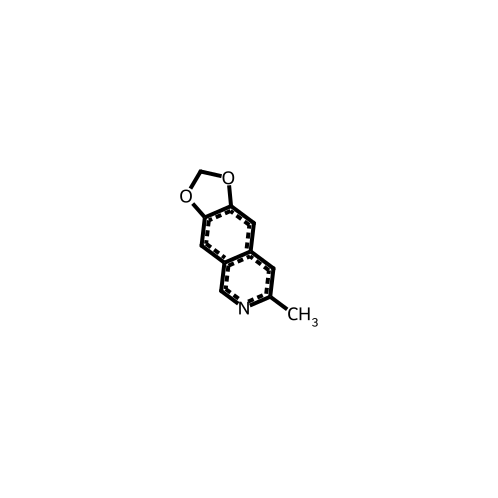 Cc1cc2cc3c(cc2cn1)OCO3